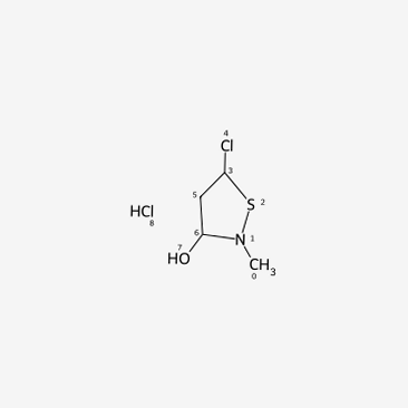 CN1SC(Cl)CC1O.Cl